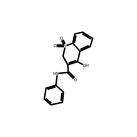 O=C(Nc1ccccc1)C1=C(O)c2ccccc2S(=O)(=O)C1